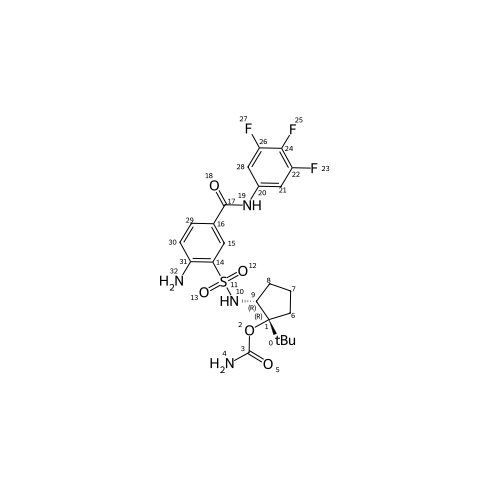 CC(C)(C)[C@]1(OC(N)=O)CCC[C@H]1NS(=O)(=O)c1cc(C(=O)Nc2cc(F)c(F)c(F)c2)ccc1N